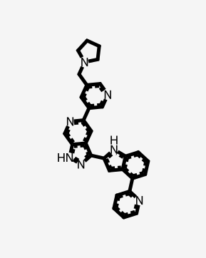 c1ccc(-c2cccc3[nH]c(-c4n[nH]c5cnc(-c6cncc(CN7CCCC7)c6)cc45)cc23)nc1